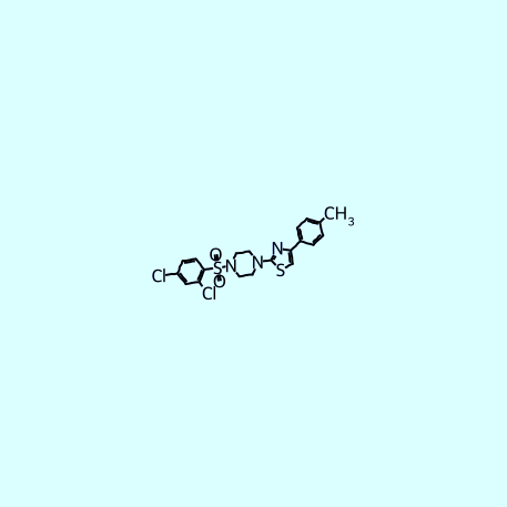 Cc1ccc(-c2csc(N3CCN(S(=O)(=O)c4ccc(Cl)cc4Cl)CC3)n2)cc1